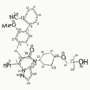 CCCc1c(Cc2ccc(-c3ccccc3C#N)c(OC)c2)c(=O)n(C2CCC(OCC(C)(C)O)CC2)c2ccnn12